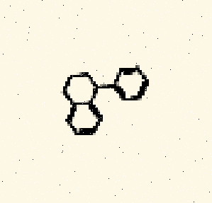 c1ccc([C]2CCCc3ccccc32)cc1